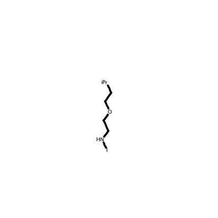 CC(C)CCOCCNI